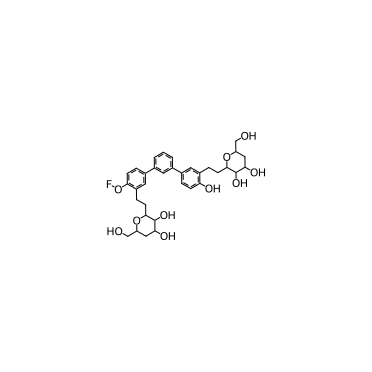 OCC1CC(O)C(O)C(CCc2cc(-c3cccc(-c4ccc(OF)c(CCC5OC(CO)CC(O)C5O)c4)c3)ccc2O)O1